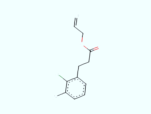 C=CCOC(=O)CCc1cccc([N+](=O)[O-])c1Cl